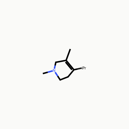 CC1=C(C(C)C)CCN(C)C1